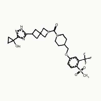 CS(=O)(=O)c1ccc(OCC2CCN(C(=O)N3CC4(CC(c5nc(C6(O)CC6)n[nH]5)C4)C3)CC2)cc1C(F)(F)F